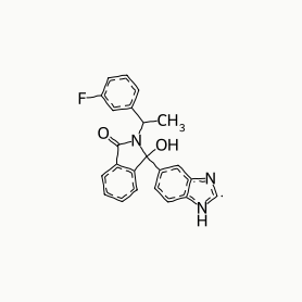 CC(c1cccc(F)c1)N1C(=O)c2ccccc2C1(O)c1ccc2[nH][c]nc2c1